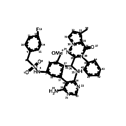 COc1cc(NS(=O)(=O)Cc2ccc(F)cc2)cc(-c2c(N)ncnc2N[C@@H](C)c2nn3ccc(C)c3c(=O)n2-c2ccccc2)c1